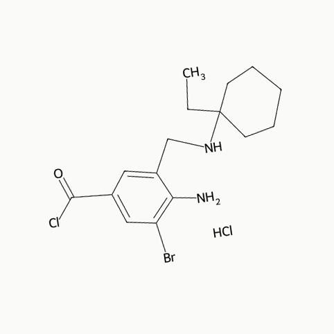 CCC1(NCc2cc(C(=O)Cl)cc(Br)c2N)CCCCC1.Cl